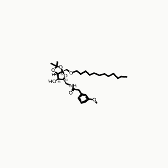 CCCCCCCCCCCCOC[C@@]12O[C@@H](CNC(=O)Cc3cccc(OC)c3)[C@@H](O)[C@@H]1OC(C)(C)O2